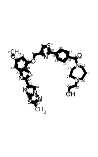 COc1cc(OCc2csc(-c3ccc(C(=O)N4CCCN(CCO)CC4)cc3)n2)c2sc(-c3cn4nc(C)sc4n3)nc2c1